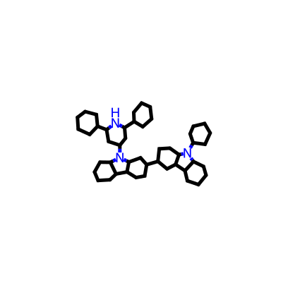 C1CCC(C2CC(N3C4CCCCC4C4CCC(C5CCC6C(C5)C5CCCCC5N6C5CCCCC5)CC43)CC(C3CCCCC3)N2)CC1